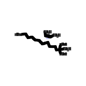 CCCCCCCCCCCCCCCCCCCCC(CCCCCCCC)(CCCCCCCC)C(=O)O.O=C(O)/C=C\C(=O)O